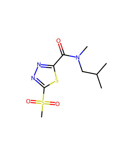 CC(C)CN(C)C(=O)c1nnc(S(C)(=O)=O)s1